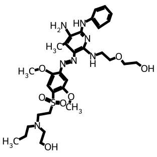 CCCN(CCO)CCS(=O)(=O)c1cc(OC)c(/N=N/c2c(NCCOCCO)nc(Nc3ccccc3)c(N)c2C)cc1OC